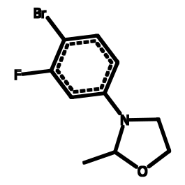 CC1OCCN1c1ccc(Br)c(F)c1